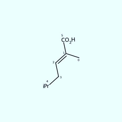 C/C(=C\CC(C)C)C(=O)O